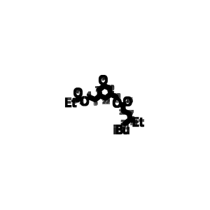 CCC(=O)OCCC1CC(=O)CC(COC(=O)CCC(CC)CC(C)CC)C1